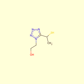 [CH2]C(S)c1nnnn1CCO